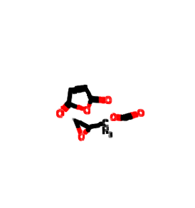 CC1CO1.O=C1C=CC(=O)O1.O=C=O